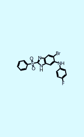 O=S(=O)(c1ccccc1)c1nc2cc(Br)c(Nc3ccc(F)cc3)cc2[nH]1